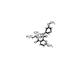 CC[C@H](C)NC(=O)C1=C(S(=O)(=O)Nc2cncc(OC)c2)C[C@@H](C)C=C1